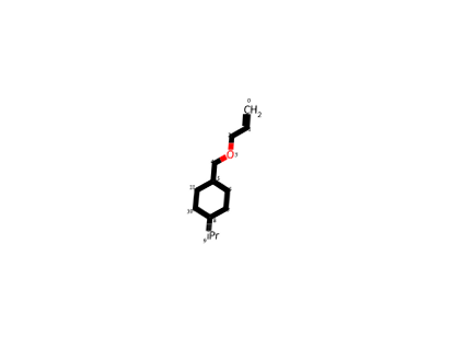 C=CCOCC1CCC(C(C)C)CC1